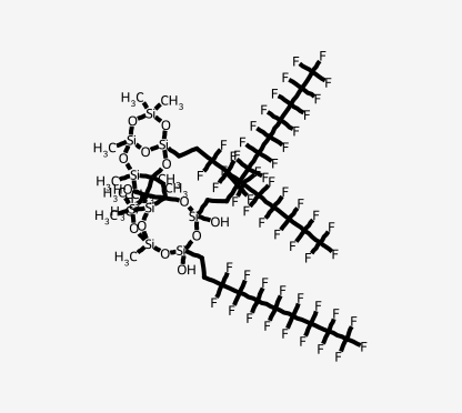 CC1(C2(O)C3(C)O[Si](O)(CCC(F)(F)C(F)(F)C(F)(F)C(F)(F)C(F)(F)C(F)(F)C(F)(F)C(F)(F)F)O[Si](O)(CCC(F)(F)C(F)(F)C(F)(F)C(F)(F)C(F)(F)C(F)(F)C(F)(F)C(F)(F)F)O[Si](C)(O[Si]3(C)C)O[Si]2(C)C)O[Si]2(CCC(F)(F)C(F)(F)C(F)(F)C(F)(F)C(F)(F)C(F)(F)C(F)(F)C(F)(F)F)O[Si](C)(C)O[Si](C)(O2)O[Si]1(C)C